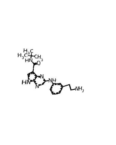 CC(C)(C)NC(=O)c1c[nH]c2ncc(Nc3cccc(CCN)c3)nc12